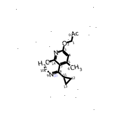 CC(=O)COc1cc(C)c(/C(=N\F)C2CC2)c(C)n1